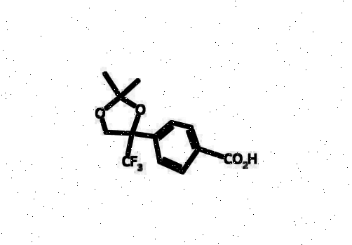 CC1(C)OCC(c2ccc(C(=O)O)cc2)(C(F)(F)F)O1